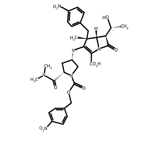 C[C@@H](O)[C@H]1C(=O)N2C(C(=O)O)=C(S[C@H]3C[C@@H](C(=O)N(C)C)N(C(=O)OCc4ccc([N+](=O)[O-])cc4)C3)[C@](C)(Cc3ccc([N+](=O)[O-])cc3)[C@H]12